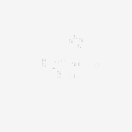 C[C@H](NC(=O)[C@H]1C[C@H](Cc2ccccc2)CN1)C(=O)NCc1cc(Cl)ccc1-n1cnnn1